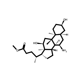 COC(=O)CC[C@@H](C)[C@H]1CC[C@H]2[C@@H]3[C@H](N)C[C@@H]4C[C@H](O)CC[C@]4(C)[C@@]3(C)C[C@H](O)[C@]12C